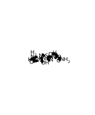 NC(=O)O[C@H]1C[C@H]2COc3c(Sc4cnc(N5CCC6(CC5)CO[C@@H](I)[C@H]6N)c(CO)n4)ccnc3N2C1